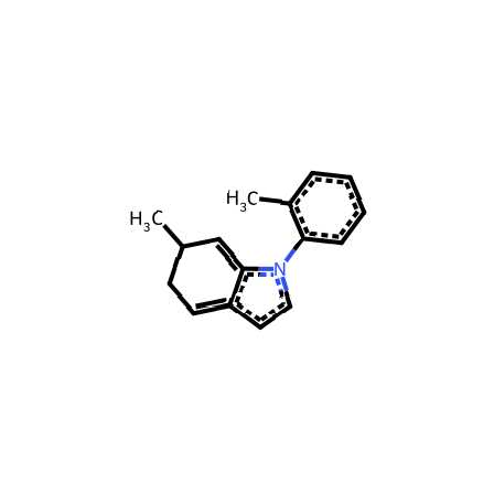 Cc1ccccc1-n1ccc2c1=CC(C)CC=2